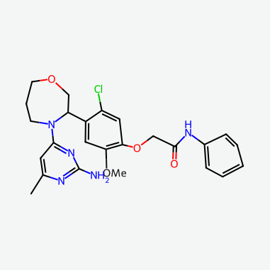 COc1cc(C2COCCCN2c2cc(C)nc(N)n2)c(Cl)cc1OCC(=O)Nc1ccccc1